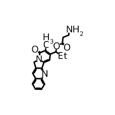 CCC(OC(=O)CCN)c1cc2n(c(=O)c1C)Cc1cc3ccccc3nc1-2